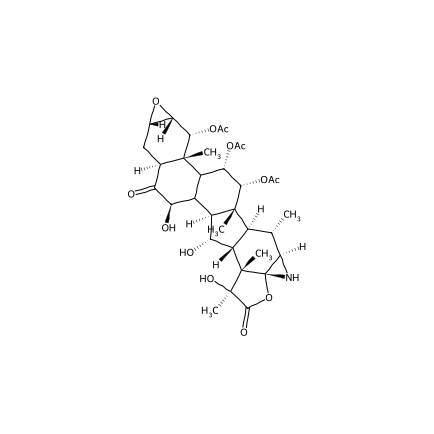 CC(=O)O[C@H]1C2C([C@@H]3[C@@H](O)[C@@H]4[C@H]([C@H](C)[C@H]5N[C@]56OC(=O)[C@@](C)(O)[C@]46C)[C@@]3(C)[C@H]1OC(C)=O)[C@@H](O)C(=O)[C@H]1C[C@@H]3O[C@@H]3[C@H](OC(C)=O)[C@]21C